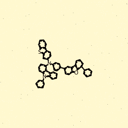 c1ccc(-c2cccc3c2oc2ccc(-c4ccc(N(c5ccc6c(c5)sc5ccccc56)c5cccc6c5c5ccccc5n6-c5ccccc5)cc4)cc23)cc1